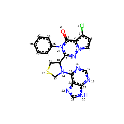 O=c1c2c(Cl)ccn2nc(C2CSCN2c2ncnc3[nH]cnc23)n1-c1ccccc1